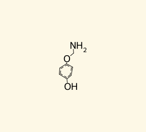 NCOc1ccc(O)cc1